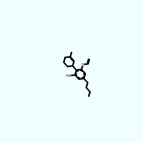 C=COc1cc(CCCC)cc(O)c1C1C=C(C)CCC1